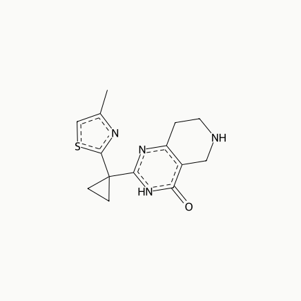 Cc1csc(C2(c3nc4c(c(=O)[nH]3)CNCC4)CC2)n1